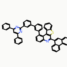 c1ccc(-c2cc(-c3ccccc3)nc(-c3cccc(-c4cccc(-c5cccc6nc(-c7cc8ccccc8c8ccccc78)c7sc8ccccc8c7c56)c4)c3)n2)cc1